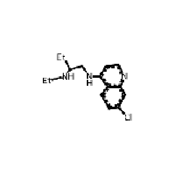 CCNC(CC)CNc1ccnc2cc(Cl)ccc12